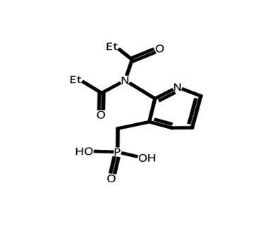 CCC(=O)N(C(=O)CC)c1ncccc1CP(=O)(O)O